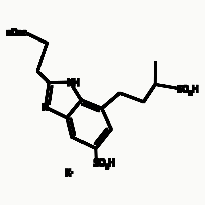 CCCCCCCCCCCCc1nc2cc(S(=O)(=O)O)cc(CCC(C)S(=O)(=O)O)c2[nH]1.[K]